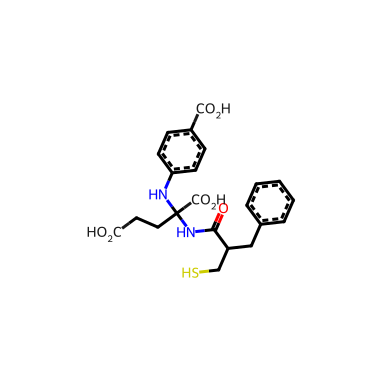 O=C(O)CCC(NC(=O)C(CS)Cc1ccccc1)(Nc1ccc(C(=O)O)cc1)C(=O)O